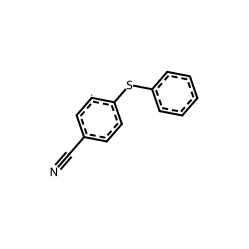 N#Cc1c[c]c(Sc2ccccc2)cc1